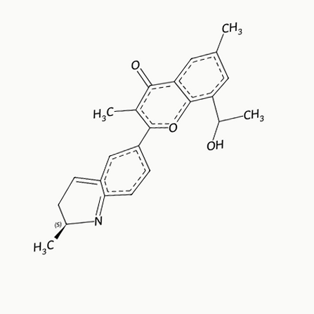 Cc1cc(C(C)O)c2oc(-c3ccc4c(c3)=CC[C@H](C)N=4)c(C)c(=O)c2c1